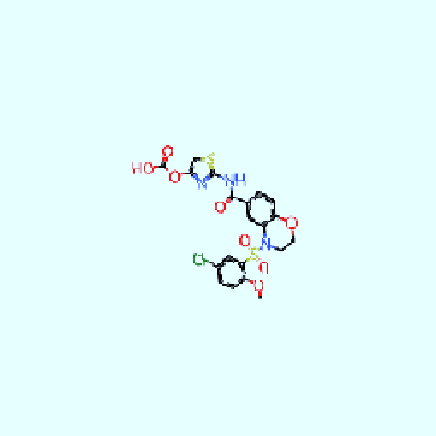 COc1ccc(Cl)cc1S(=O)(=O)N1CCOc2ccc(C(=O)Nc3nc(OC(=O)O)cs3)cc21